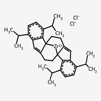 CC(C)c1ccc(C(C)C)c2c1C=C1CC[C]34[Zr+2][C]12CCC3=Cc1c(C(C)C)ccc(C(C)C)c14.[Cl-].[Cl-]